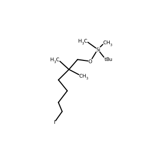 CC(C)(CCCCI)CO[Si](C)(C)C(C)(C)C